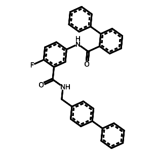 O=C(NCc1ccc(-c2ccccc2)cc1)c1cc(NC(=O)c2ccccc2-c2ccccc2)ccc1F